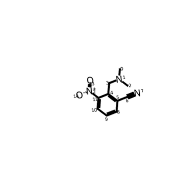 CN(C)Cc1c(C#N)cccc1[N+](=O)[O-]